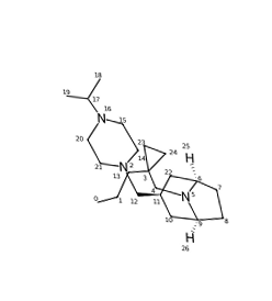 CCCC1(CN2[C@@H]3CC[C@H]2C[C@@H](CN2CCN(C(C)C)CC2)C3)CC1